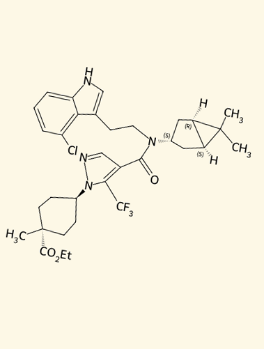 CCOC(=O)[C@]1(C)CC[C@@H](n2ncc(C(=O)N(CCc3c[nH]c4cccc(Cl)c34)[C@@H]3C[C@@H]4[C@H](C3)C4(C)C)c2C(F)(F)F)CC1